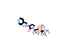 C[C@@H](C(=O)OC(C)(C)C)N1CC[C@H](NCc2ccncc2)C1=O